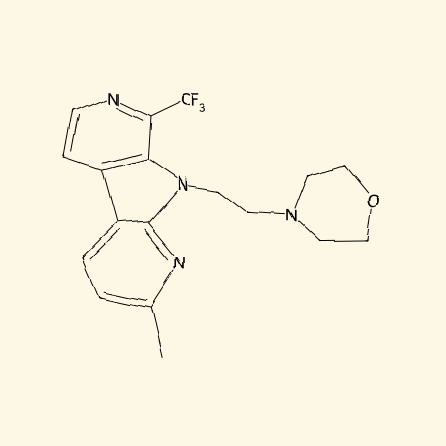 Cc1ccc2c3ccnc(C(F)(F)F)c3n(CCN3CCOCC3)c2n1